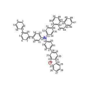 c1ccc(-c2cccc(-c3ccc(N(c4ccc(-c5ccc6c(c5)oc5ccccc56)cc4)c4ccc(-c5cccc6c5ccc5ccccc56)cc4)cc3)c2)cc1